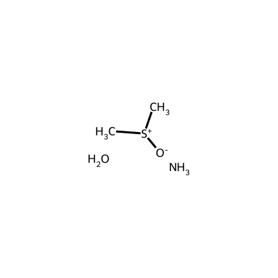 C[S+](C)[O-].N.O